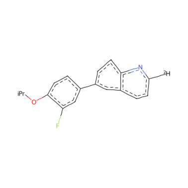 [2H]c1ccc2cc(-c3ccc(OC(C)C)c(F)c3)ccc2n1